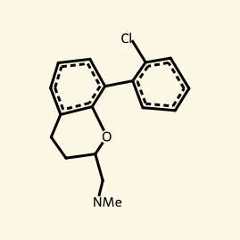 CNCC1CCc2cccc(-c3ccccc3Cl)c2O1